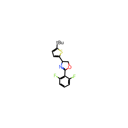 CC(C)(C)c1ccc(C2COC(c3c(F)cccc3F)=N2)s1